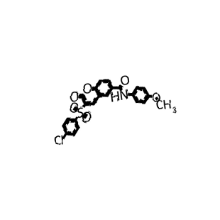 COc1ccc(NC(=O)c2ccc3oc(=O)c(S(=O)(=O)c4ccc(Cl)cc4)cc3c2)cc1